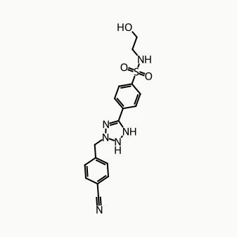 N#Cc1ccc(CN2N=C(c3ccc(S(=O)(=O)NCCO)cc3)NN2)cc1